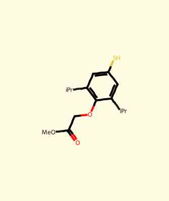 COC(=O)COc1c(C(C)C)cc(S)cc1C(C)C